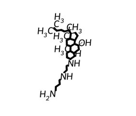 CC(C)CCC[C@@H](C)[C@H]1CCC2C3C(CC[C@@]21C)[C@@]1(C)CC[C@H](NCCCNCCCCN)C[C@H]1C[C@H]3O